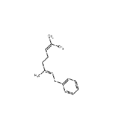 CC(C)=[C]CC/C(C)=C/Cc1ccccc1